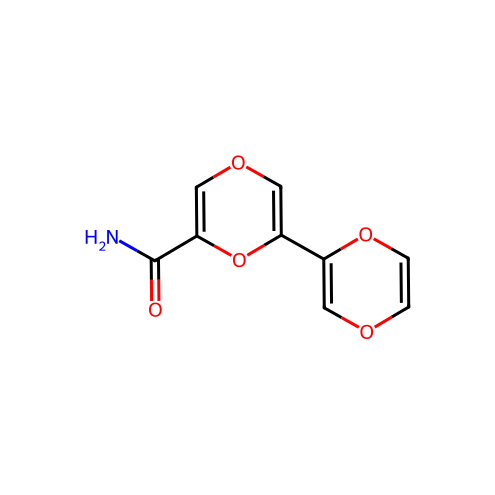 NC(=O)C1=COC=C(C2=COC=CO2)O1